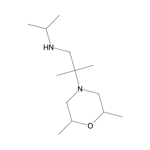 CC(C)NCC(C)(C)N1CC(C)OC(C)C1